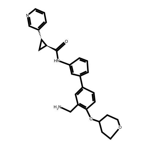 NCc1cc(-c2cccc(NC(=O)[C@H]3C[C@@H]3c3cccnc3)c2)ccc1OC1CCOCC1